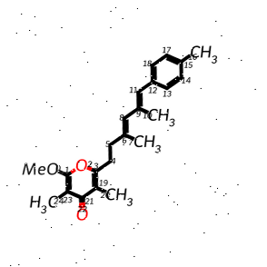 COc1oc(CC/C(C)=C/C(C)=C/c2ccc(C)cc2)c(C)c(=O)c1C